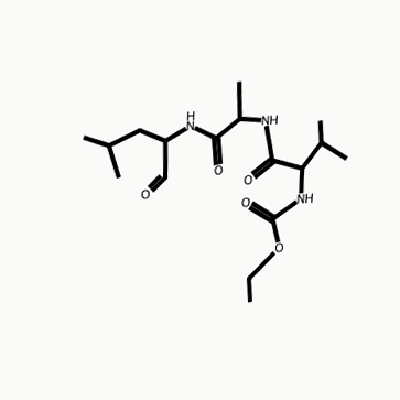 CCOC(=O)NC(C(=O)NC(C)C(=O)NC(C=O)CC(C)C)C(C)C